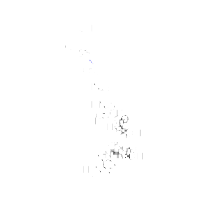 CCCCC[C@@H](C/C=C/C(=O)SCCNC(=O)CCNC(O)C(=O)C(C)(C)COP(=O)(O)OP(=O)(O)OC[C@H]1O[C@@H]([n+]2c[nH]c3c(N)ncnc32)[C@H](O)[C@@H]1OP(=O)(O)O)SCC=O